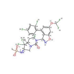 CS(=O)(=O)N[C@@H]1CN2C(=O)N(c3noc4cc(OC(F)F)cc(-c5c(F)cc(F)cc5F)c34)CC[C@@H]2C1(F)F